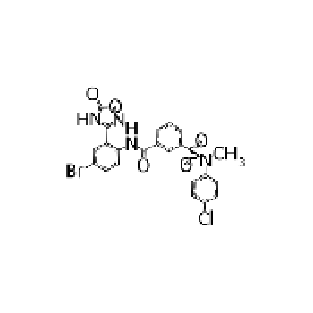 CN(c1ccc(Cl)cc1)S(=O)(=O)c1cccc(C(=O)Nc2ccc(Br)cc2-c2noc(=O)[nH]2)c1